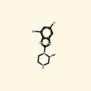 C[C@H]1CNCCN1c1nc2c(Br)cc(Cl)cc2o1